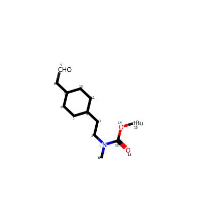 CN(CCC1CCC(CC=O)CC1)C(=O)OC(C)(C)C